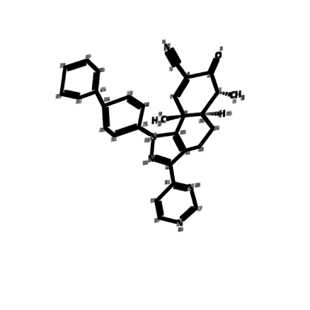 C[C@H]1C(=O)C(C#N)=C[C@@]2(C)c3c(c(-c4ccncn4)nn3-c3ccc(-c4ccccc4)cc3)CC[C@H]12